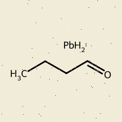 CCCC=O.[PbH2]